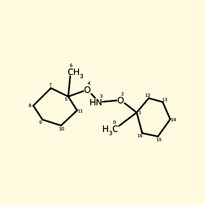 CC1(ONOC2(C)CCCCC2)CCCCC1